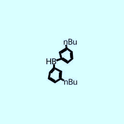 CCCCc1cccc(Bc2cccc(CCCC)c2)c1